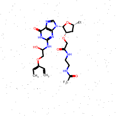 C=C/C(=C\C)OCC(O)Nc1nc2c(ncn2[C@@H]2O[C@H](CC)C[C@@H]2OCC(=O)NCCNC(=O)C(F)(F)F)c(=O)[nH]1